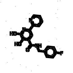 O=C(NCc1ccc(F)cc1)c1cc(-c2ccccn2)nc(O)c1O